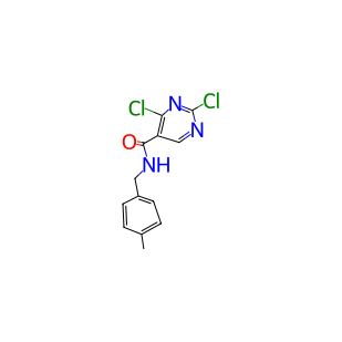 Cc1ccc(CNC(=O)c2cnc(Cl)nc2Cl)cc1